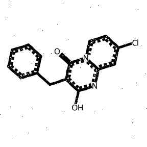 O=c1c(Cc2ccccc2)c(O)nc2cc(Cl)ccn12